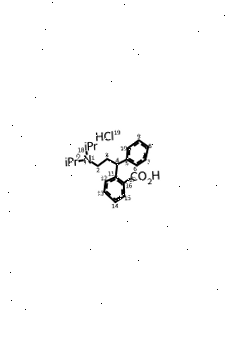 CC(C)N(CCC(c1ccccc1)c1ccccc1C(=O)O)C(C)C.Cl